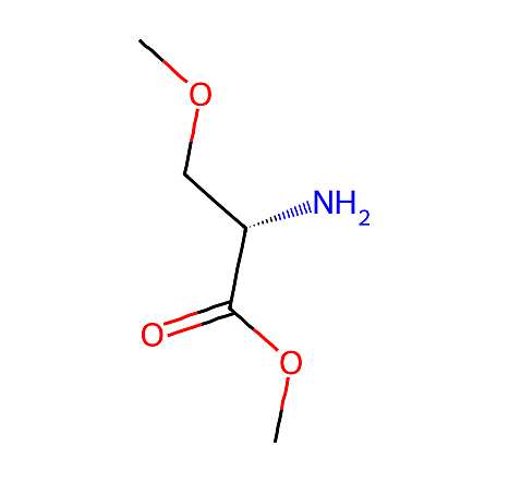 COC[C@H](N)C(=O)OC